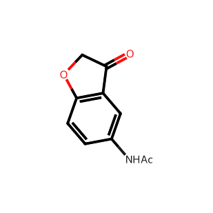 CC(=O)Nc1ccc2c(c1)C(=O)CO2